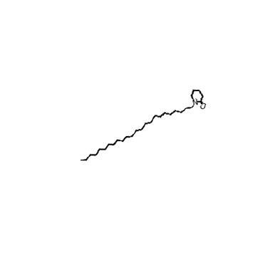 CCCCCCCCCCCCCCCCCCCCCCCCN1CCCCC1=O